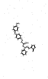 C=C1C=CC=C1/C=N/N(CC(O)CSc1ccc(Sc2ccc(SC)cc2)cc1)c1ccccc1